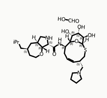 CC(C)C[C@@H]1CCO[C@@H]2[C@H](CN[C@@H]2C(=O)N[C@@H]2CC=C[C@@H](CN3CCCC3)CS[C@H]3O[C@H]2[C@H](O)[C@H](O)[C@H]3O)C1.O=CO